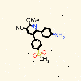 COc1nc(-c2ccc(N)cc2)c(-c2ccc(S(C)(=O)=O)cc2)cc1C#N